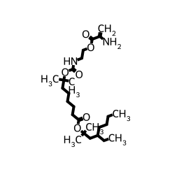 C=C(N)C(=O)OCCNC(=O)OC(C)(C)CCCCCC(=O)OC(C)(C)CC(CC)CCCC